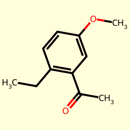 CCc1ccc(OC)cc1C(C)=O